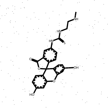 CNCCNC(=S)Nc1ccc2c(c1)C(=O)OC21c2ccc(O)cc2Oc2cc(O)ccc21